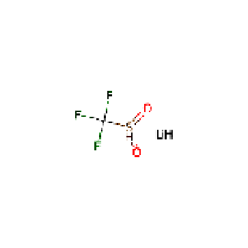 O=[SH](=O)C(F)(F)F.[LiH]